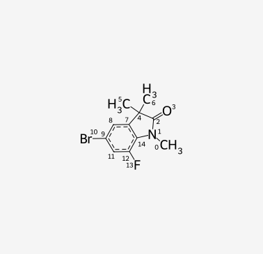 CN1C(=O)C(C)(C)c2cc(Br)cc(F)c21